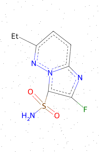 CCc1ccc2nc(F)c(S(N)(=O)=O)n2n1